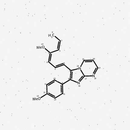 C\C=C/C(=C\C=C\c1c(-c2ccc(OC)cc2)nc2ncccn12)OC